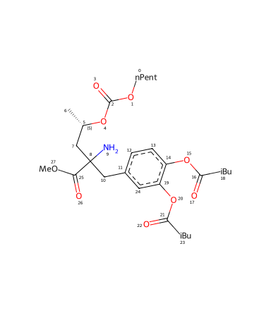 CCCCCOC(=O)O[C@@H](C)CC(N)(Cc1ccc(OC(=O)C(C)CC)c(OC(=O)C(C)CC)c1)C(=O)OC